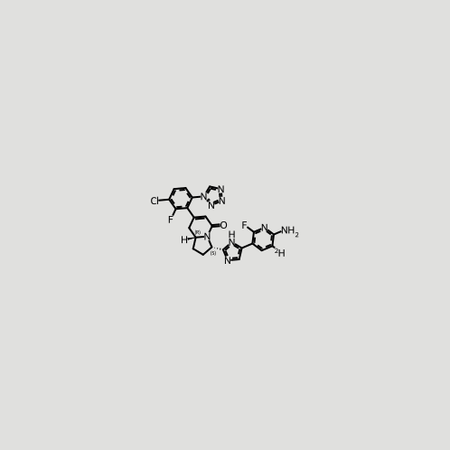 [2H]c1cc(-c2cnc([C@@H]3CC[C@@H]4CC(c5c(-n6cnnn6)ccc(Cl)c5F)=CC(=O)N43)[nH]2)c(F)nc1N